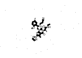 CCNC(=O)[C@@H](C)n1c(=O)c2c(C)c(-n3nccn3)sc2n(C[C@H](OCCC#N)c2cc(F)ccc2OC)c1=O